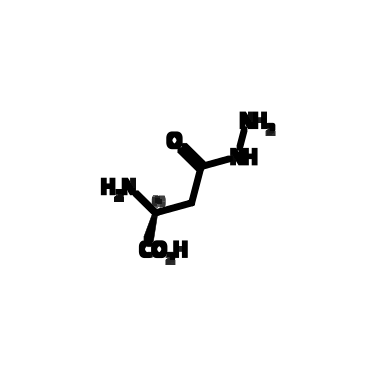 NNC(=O)C[C@H](N)C(=O)O